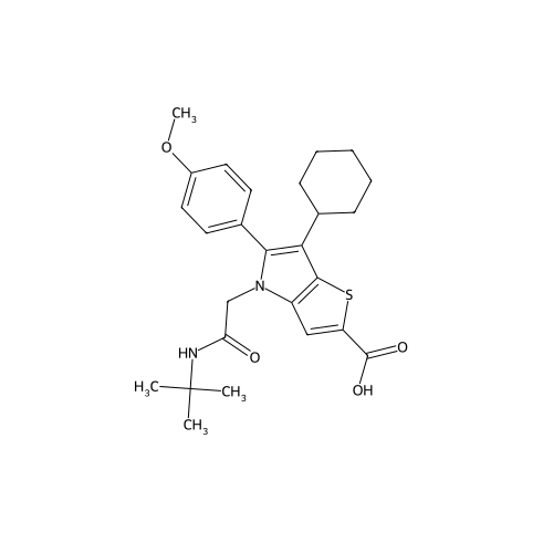 COc1ccc(-c2c(C3CCCCC3)c3sc(C(=O)O)cc3n2CC(=O)NC(C)(C)C)cc1